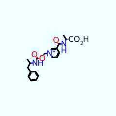 CC(Cc1ccccc1)NC(=O)OC[n+]1cccc(C(=O)N[C@@H](C)C(=O)O)c1